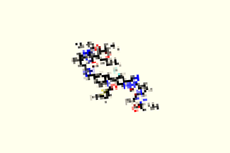 CCc1ccc(C2Oc3cc(-c4cnc([C@@H]5CCCN5C(=O)[C@@H](NC(=O)OC)C(C)C)[nH]4)cc(F)c3-c3cc4cc(-c5cnc([C@@H]6C[C@H]7C[C@H]7N6C(=O)[C@H](NC(=O)OC)C6C[C@@H](C)O[C@@H](C)C6)[nH]5)ccc4n32)s1